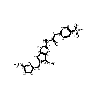 CCS(=O)(=O)c1ccc(CC(=O)Nc2nc3c(s2)CN(C[C@H]2CCC(C(F)(F)F)O2)C3C(C)C)nc1